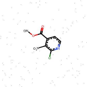 O=NOC(=O)c1ccnc(Cl)c1[N+](=O)[O-]